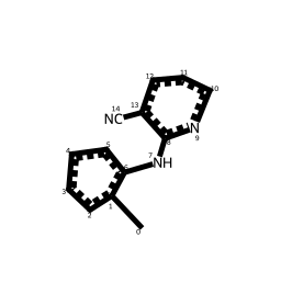 Cc1ccccc1Nc1ncccc1C#N